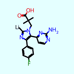 [Li][c]1nc(-c2ccc(F)cc2)c(-c2ccnc(N)n2)n1CC(C)(C)C(=O)O